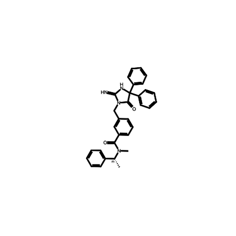 C[C@H](c1ccccc1)N(C)C(=O)c1cccc(CN2C(=N)NC(c3ccccc3)(c3ccccc3)C2=O)c1